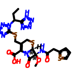 CCC(c1nnn[nH]1)n1nnnc1SCC1=C(C(=O)O)N2C(=O)[C@](NC(=O)Cc3cccs3)(OC)[C@@H]2SC1